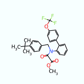 COC(=O)C(=O)N(Cc1ccc(C(C)(C)C)cc1)c1ccccc1-c1ccc(OC(F)(F)F)cc1